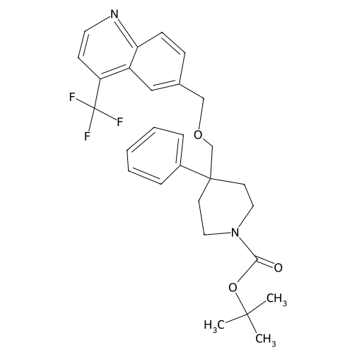 CC(C)(C)OC(=O)N1CCC(COCc2ccc3nccc(C(F)(F)F)c3c2)(c2ccccc2)CC1